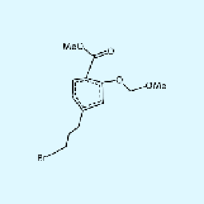 COCOc1cc(CCCBr)ccc1C(=O)OC